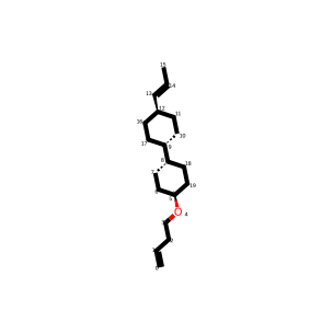 C=CCCO[C@H]1CC[C@H]([C@H]2CC[C@H](C=CC)CC2)CC1